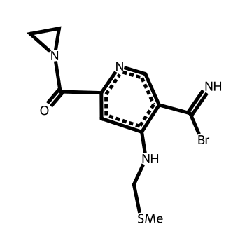 CSCNc1cc(C(=O)N2CC2)ncc1C(=N)Br